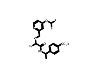 CC(NC(=O)C(OCc1cc(OC(F)F)ccn1)C(C)C)c1ccc(C(=O)O)cc1